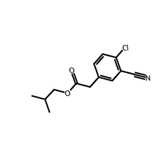 CC(C)COC(=O)Cc1ccc(Cl)c(C#N)c1